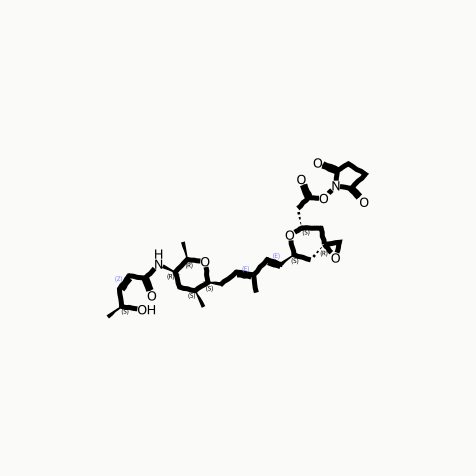 CC(/C=C/[C@@H]1C[C@@]2(CO2)C[C@@H](CC(=O)ON2C(=O)CCC2=O)O1)=C\C[C@@H]1O[C@H](C)[C@H](NC(=O)/C=C\[C@H](C)O)C[C@@H]1C